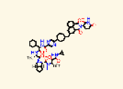 CCC[C@H](NC(=O)[C@@H]1[C@H]2CCC[C@H]2CN1C(=O)[C@@H](NC(=O)[C@@H](NC(=O)c1cnc(C2CCCC(Cc3cc4c5c(cccc5c3)C(=O)N(C3CCC(=O)NC3=O)C4=O)CC2)cn1)C1CCCCC1)C(C)(C)C)C(=O)C(=O)NC1CC1